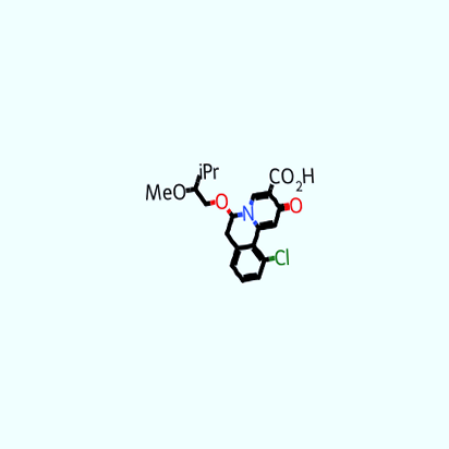 COC(COC1Cc2cccc(Cl)c2-c2cc(=O)c(C(=O)O)cn21)C(C)C